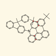 CC(C)(C)c1cc(-c2cccc3cccc(-c4ccccc4N(c4ccccc4)c4ccc5c(c4)C(C)(c4ccccc4)c4ccccc4-5)c23)cc(C(C)(C)C)c1